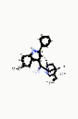 C=C[C@H]1CN2CC[C@H]1C[C@H]2C(N)c1cc(-c2ccccc2)nc2ccc(OC)cc12